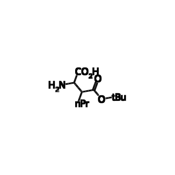 CCCC(C(=O)OC(C)(C)C)C(N)C(=O)O